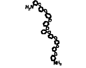 Nc1cccc(Oc2cccc(Oc3ccc(Oc4cccc(Oc5ccccc5Oc5cccc(Oc6ccc(Oc7cccc(Oc8cccc(N)c8)c7)cc6)c5)c4)cc3)c2)c1